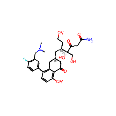 CN(C)Cc1cc(-c2ccc(O)c3c2C[C@@H](C[C@@H](CCO)[C@](O)(CO)C(=O)CC(N)=O)CC3=O)ccc1F